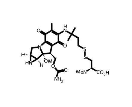 CN[C@@H](CSSCCC(C)(C)NC1=C(C)C(=O)C2=C(C1=O)[C@@H](COC(N)=O)[C@@]1(OC)[C@H]3N[C@H]3CN21)C(=O)O